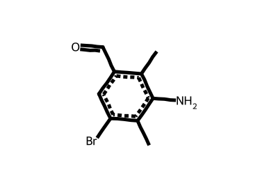 Cc1c(Br)cc(C=O)c(C)c1N